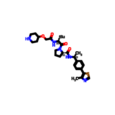 Cc1ncsc1-c1ccc([C@H](C)NC(=O)[C@@H]2CCCN2C(=O)[C@@H](NC(=O)COC2CCNCC2)C(C)(C)C)cc1